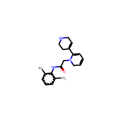 Cc1cccc(C(C)C)c1NC(=O)CN1CC=CC=C1C1=CCNCC1